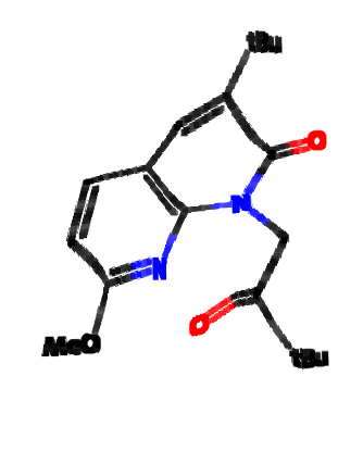 COc1ccc2cc(C(C)(C)C)c(=O)n(CC(=O)C(C)(C)C)c2n1